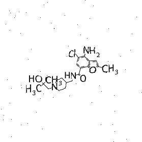 Cc1cc2c(N)c(Cl)cc(C(=O)NCC3CCN(CC(C)(C)O)CC3)c2o1